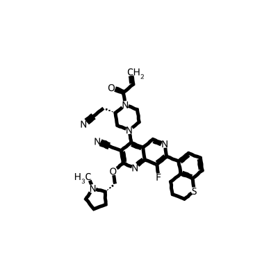 C=CC(=O)N1CCN(c2c(C#N)c(OC[C@@H]3CCCN3C)nc3c(F)c(-c4cccc5c4CCCS5)ncc23)C[C@@H]1CC#N